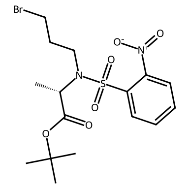 C[C@@H](C(=O)OC(C)(C)C)N(CCCBr)S(=O)(=O)c1ccccc1[N+](=O)[O-]